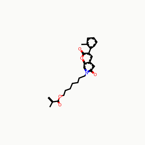 C=C(C)C(=O)OCCCCCCCn1cc2oc(=O)c(-c3ccccc3C)cc2cc1=O